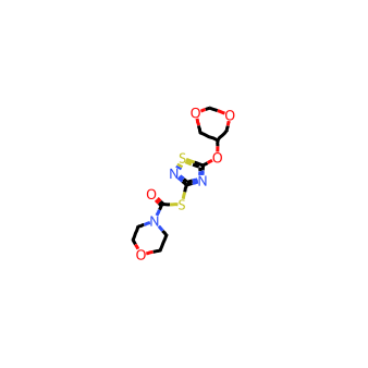 O=C(Sc1nsc(OC2COCOC2)n1)N1CCOCC1